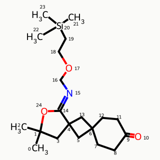 CC1(C)CC2(CC3(CCC(=O)CC3)C2)C(=NCOCC[Si](C)(C)C)O1